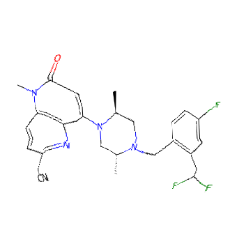 C[C@@H]1CN(c2cc(=O)n(C)c3ccc(C#N)nc23)[C@@H](C)CN1Cc1ccc(F)cc1C(F)F